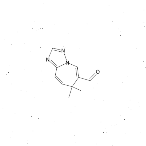 CC1(C)C=Cc2ncnn2C=C1C=O